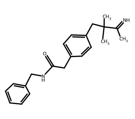 CC(=N)C(C)(C)Cc1ccc(CC(=O)NCc2ccccc2)cc1